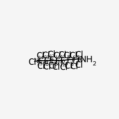 NC(Cl)(Cl)C(Cl)(Cl)C(Cl)(Cl)C(Cl)(Cl)C(Cl)(Cl)C(Cl)(Cl)C(Cl)(Cl)C(Cl)(Cl)Cl